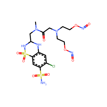 CN(CC1Nc2cc(Cl)c(S(N)(=O)=O)cc2S(=O)(=O)N1)C(=O)CN(CCON=O)CCON=O